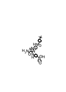 CC(C)(C)c1ccc(C(=O)N[C@@H]2CCN(c3nnc(C(N)=O)c(Nc4ccc(C(O)N5CCOCC5)cc4)n3)C2)cc1